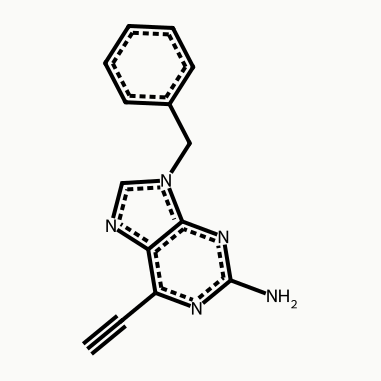 C#Cc1nc(N)nc2c1ncn2Cc1ccccc1